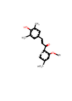 Cc1cc(/C=C/C(=O)c2ccc(C(=O)O)cc2OC(C)C)cc(C)c1O